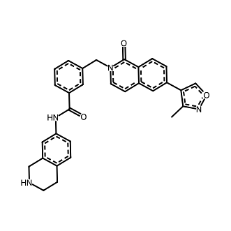 Cc1nocc1-c1ccc2c(=O)n(Cc3cccc(C(=O)Nc4ccc5c(c4)CNCC5)c3)ccc2c1